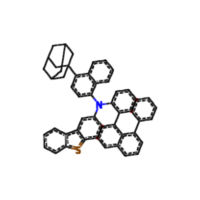 c1ccc(-c2cccc3cccc(-c4ccccc4N(c4ccc5sc6ccccc6c5c4)c4ccc(C56CC7CC(CC(C7)C5)C6)c5ccccc45)c23)cc1